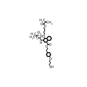 C=C(C)C(=O)OCCCCOc1c(NC(=O)OC(C)(C)C)cc(C(=O)OCCc2ccc(OCCCS)cc2)c2ccccc12